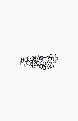 COc1cc2c(c(O)c1CCC(C)(C)O)C(=O)C[C@@H](c1ccc(OC)c(OC)c1C/C=C(\C)CCC=C(C)C)O2